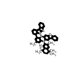 Cc1cc2c3c(c1)N(c1cc4c(cc1C)C(C)(C)CCC4(C)C)c1cc4c(cc1B3n1c3sc5ccccc5c3c3cccc-2c31)oc1ccccc14